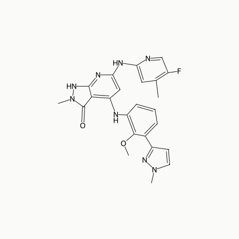 COc1c(Nc2cc(Nc3cc(C)c(F)cn3)nc3[nH]n(C)c(=O)c23)cccc1-c1ccn(C)n1